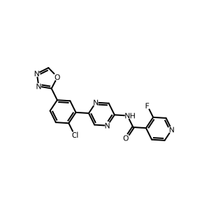 O=C(Nc1cnc(-c2cc(-c3nnco3)ccc2Cl)cn1)c1ccncc1F